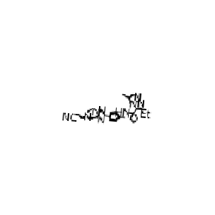 CCc1nc2ncc(C)cn2c1C(=O)NCc1ccc(-c2nc3n(n2)CCN(CCC#N)C3)cc1